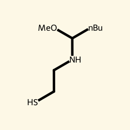 CCCCC(NCCS)OC